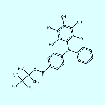 CC(C)(O)C(C)(C)OBc1ccc(N(c2ccccc2)c2c(O)c(O)c(O)c(O)c2O)cc1